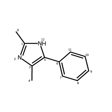 Cc1nc(C)c(-c2ccccc2)[nH]1